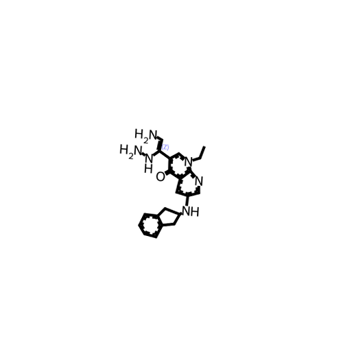 CCn1cc(/C(=C/N)NN)c(=O)c2cc(NC3Cc4ccccc4C3)cnc21